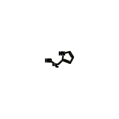 O[13CH2]c1ccc[nH]1